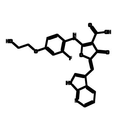 O=C(O)C1=C(Nc2ccc(OCCO)cc2F)OC(=Cc2c[nH]c3ncccc23)C1=O